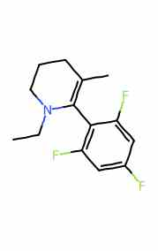 CCN1CCCC(C)=C1c1c(F)cc(F)cc1F